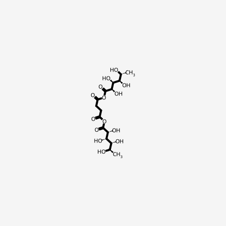 C[C@@H](O)[C@@H](O)[C@H](O)[C@@H](O)C(=O)OC(=O)CCC(=O)OC(=O)[C@H](O)[C@@H](O)[C@H](O)[C@@H](C)O